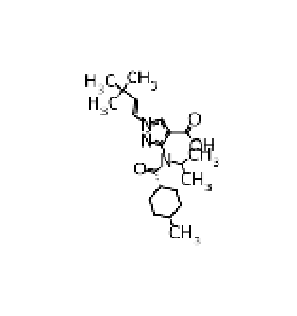 CC(C)N(c1nn(C=CC(C)(C)C)cc1C(=O)O)C(=O)[C@H]1CC[C@H](C)CC1